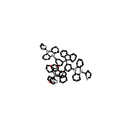 c1csc(N2c3ccccc3N(c3cc(N4c5ccccc5N(c5cccs5)c5ccccc54)cc(C4(c5cc(N6c7ccccc7N(c7cccs7)c7ccccc76)cc(N6c7ccccc7N(c7cccs7)c7ccccc76)c5)c5ccccc5-c5ccccc54)c3)c3ccccc32)c1